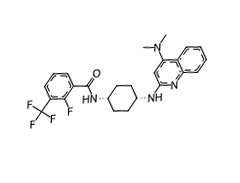 CN(C)c1cc(N[C@H]2CC[C@@H](NC(=O)c3cccc(C(F)(F)F)c3F)CC2)nc2ccccc12